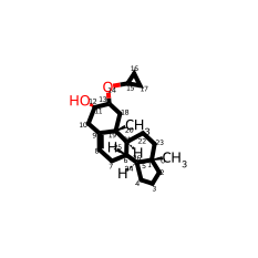 C[C@@]12CCC[C@H]1[C@@H]1CC=C3C[C@@H](O)C(OC4CC4)C[C@]3(C)[C@H]1CC2